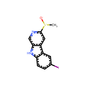 C[S+]([O-])c1cc2c(cn1)[nH]c1ccc(I)cc12